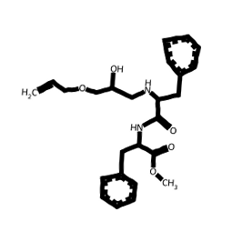 C=CCOCC(O)CNC(Cc1ccccc1)C(=O)NC(Cc1ccccc1)C(=O)OC